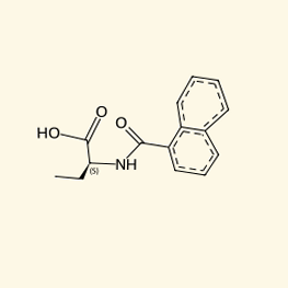 CC[C@H](NC(=O)c1cccc2ccccc12)C(=O)O